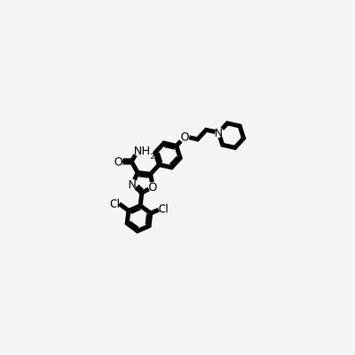 NC(=O)c1nc(-c2c(Cl)cccc2Cl)oc1-c1ccc(OCCN2CCCCC2)cc1